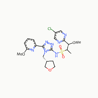 COc1cccc(-c2nnc(NS(=O)(=O)C(C)C(OC)c3ncc(Cl)cn3)n2C[C@@H]2CCOC2)n1